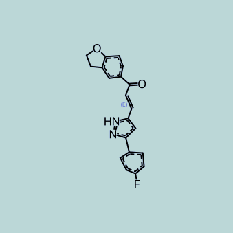 O=C(/C=C/c1cc(-c2ccc(F)cc2)n[nH]1)c1ccc2c(c1)CCO2